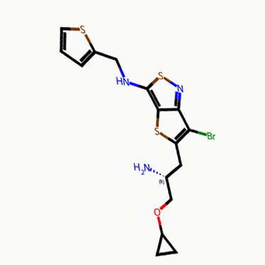 N[C@@H](COC1CC1)Cc1sc2c(NCc3cccs3)snc2c1Br